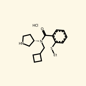 CCSc1ccccc1C(=O)N(CC1CCC1)[C@H]1CCNC1.Cl